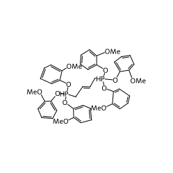 COc1ccccc1O[PH](CC=CC[PH](Oc1ccccc1OC)(Oc1ccccc1OC)Oc1ccccc1OC)(Oc1ccccc1OC)Oc1ccccc1OC